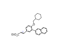 CCOC(=O)/C=C/c1ccc(OCC2CCCCC2)c(-c2ccc3ccccc3c2)c1